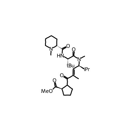 COC(=O)[C@@H]1CCCC1C(=O)/C(C)=C/[C@H](C(C)C)N(C)C(=O)[C@@H](NC(=O)[C@H]1CCCCN1C)C(C)(C)C